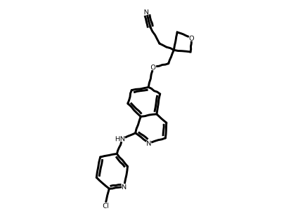 N#CCC1(COc2ccc3c(Nc4ccc(Cl)nc4)nccc3c2)COC1